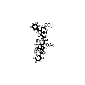 CC(=O)O[C@H](C[C@H](C(C)C)N(C)C(=O)C1(NC(=O)[C@H]2CCCCN2C)CCC1)c1nc(C(=O)NC(Cc2ccccc2)CC(C)C(=O)O)cs1